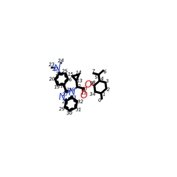 CC1CCC(C(C)C)[C@H](OC(=O)C(C2CC2)n2c(-c3ccc(N(C)C)cc3)nc3ccccc32)C1